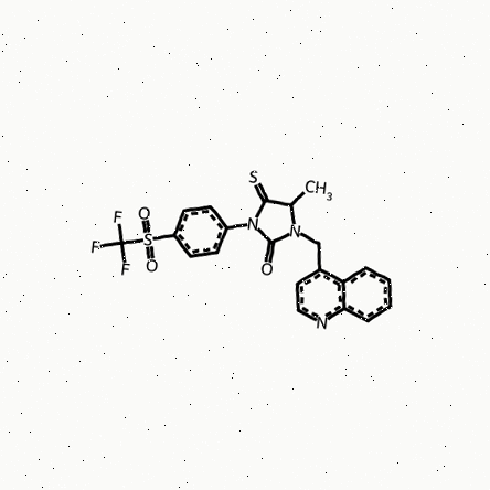 CC1C(=S)N(c2ccc(S(=O)(=O)C(F)(F)F)cc2)C(=O)N1Cc1ccnc2ccccc12